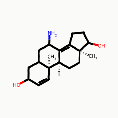 C[C@]12CC[C@@H]3C(=C1CCC2O)C(N)CC1CC(O)C=C[C@@]13C